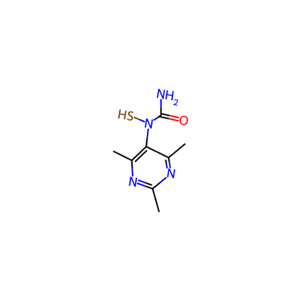 Cc1nc(C)c(N(S)C(N)=O)c(C)n1